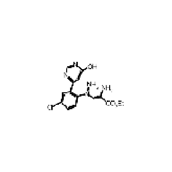 CCOC(=O)/C(N)=C/N(N)c1ccc(Cl)cc1-c1cc(O)ncn1